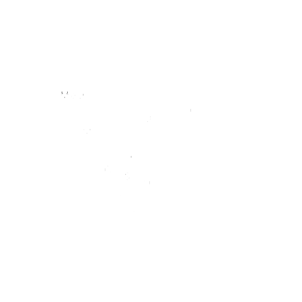 COC(=O)/C=C/O[C@H](COCc1ccccc1)COS(=O)(=O)c1ccc(C)cc1